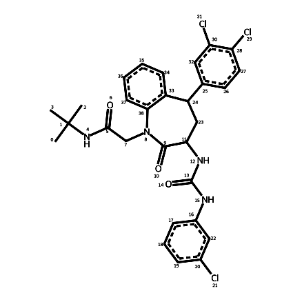 CC(C)(C)NC(=O)CN1C(=O)C(NC(=O)Nc2cccc(Cl)c2)CC(c2ccc(Cl)c(Cl)c2)c2ccccc21